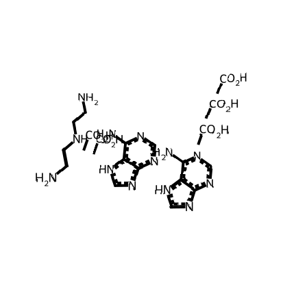 CC(=O)O.CC(=O)O.CC(=O)O.CC(=O)O.CC(=O)O.NCCNCCN.Nc1ncnc2nc[nH]c12.Nc1ncnc2nc[nH]c12